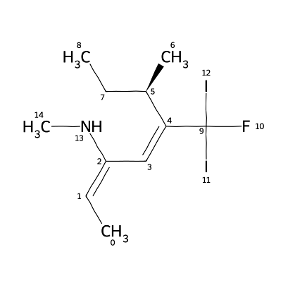 C/C=C(\C=C(/[C@H](C)CC)C(F)(I)I)NC